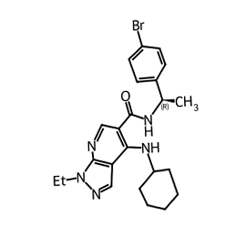 CCn1ncc2c(NC3CCCCC3)c(C(=O)N[C@H](C)c3ccc(Br)cc3)cnc21